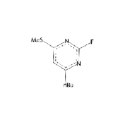 CCCCc1cc(SC)nc(F)n1